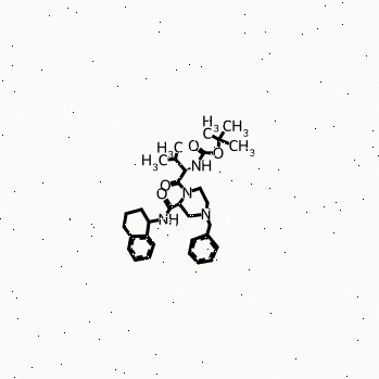 CC(C)[C@H](NC(=O)OC(C)(C)C)C(=O)N1CCN(Cc2ccccc2)CC1C(=O)NC1CCCc2ccccc21